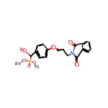 CCOP(=O)(OCC)C(O)c1ccc(OCCCN2C(=O)c3ccccc3C2=O)cc1